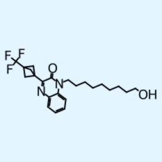 O=c1c(C23CC(C(F)(F)F)(C2)C3)nc2ccccc2n1CCCCCCCCCO